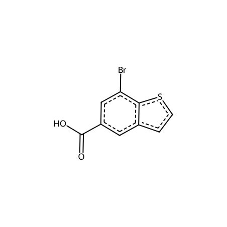 O=C(O)c1cc(Br)c2sccc2c1